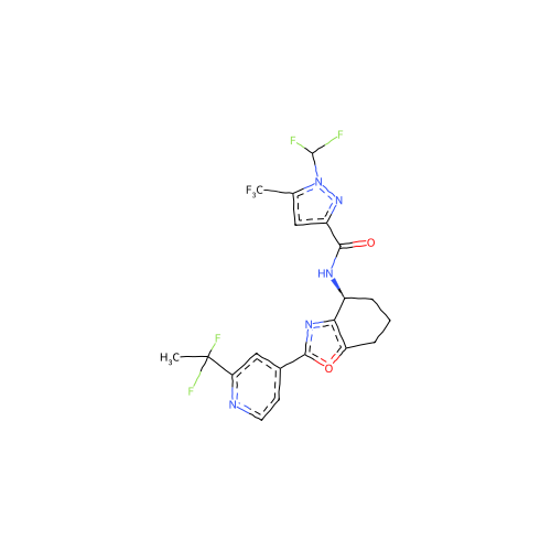 CC(F)(F)c1cc(-c2nc3c(o2)CCC[C@@H]3NC(=O)c2cc(C(F)(F)F)n(C(F)F)n2)ccn1